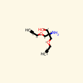 C#CCOCC(N)(CO)COCC#C